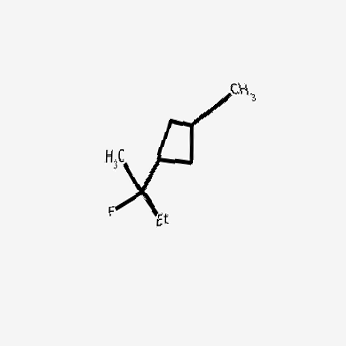 CCC(C)(F)C1CC(C)C1